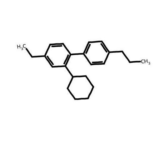 CCCc1ccc(-c2ccc(CC)cc2C2CCCCC2)cc1